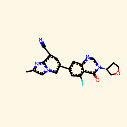 Cc1cn2cc(-c3cc(F)c4c(=O)n([C@H]5CCOC5)cnc4c3)cc(C#N)c2n1